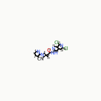 N#Cc1cccnc1N1CC2(CC2C(=O)Nc2cc3cc(Cl)nc(Cl)c3cn2)C1